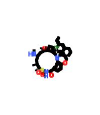 C=C1/C(=C\C(Cl)=C/C)CCC[C@]12COc1ccc3cc1N(C[C@@H]1CC[C@H]1[C@](C)(O)C[C@@H](NC)C[C@H](C)[C@@H](C)S(=O)(=O)NC3=O)C2